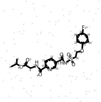 CC(C)OC(=O)CNC(=O)c1ccc(C(=O)NS(=O)(=O)CCOc2ccc(F)cc2)cn1